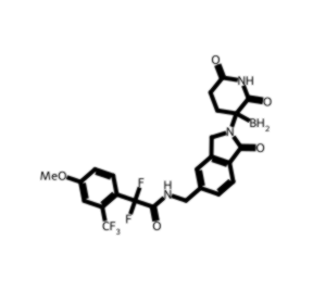 BC1(N2Cc3cc(CNC(=O)C(F)(F)c4ccc(OC)cc4C(F)(F)F)ccc3C2=O)CCC(=O)NC1=O